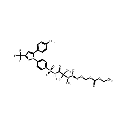 CCOC(=O)OCO/N=[N+](\[O-])N(C)C(C)(C)C(=O)NS(=O)(=O)c1ccc(-n2nc(C(F)(F)F)cc2-c2ccc(C)cc2)cc1